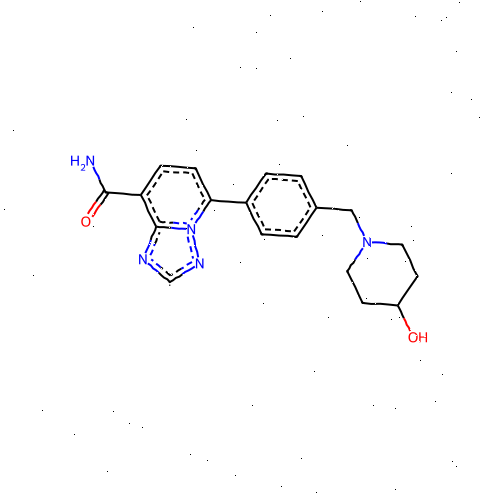 NC(=O)c1ccc(-c2ccc(CN3CCC(O)CC3)cc2)n2n[c]nc12